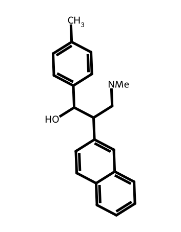 CNCC(c1ccc2ccccc2c1)C(O)c1ccc(C)cc1